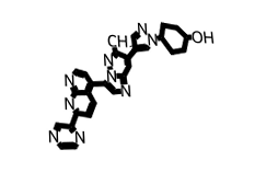 Cc1nn2c(-c3ccnc4nc(-c5cnccn5)ccc34)cnc2cc1-c1cnn(C2CCC(O)CC2)c1